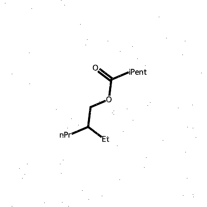 CCCC(CC)COC(=O)C(C)CCC